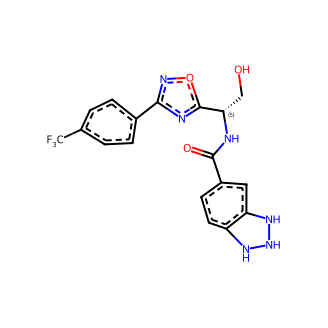 O=C(N[C@@H](CO)c1nc(-c2ccc(C(F)(F)F)cc2)no1)c1ccc2c(c1)NNN2